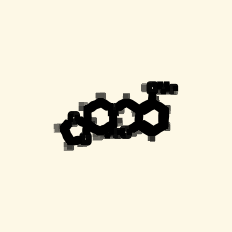 COc1cccc(OC)c1CN1CCC2(CC1)OCCO2